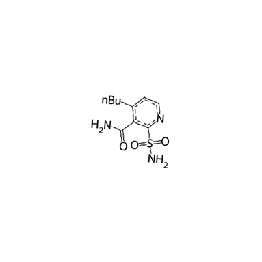 CCCCc1ccnc(S(N)(=O)=O)c1C(N)=O